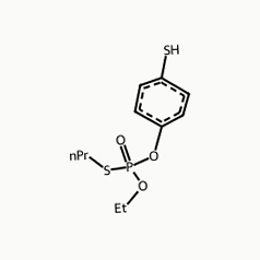 CCCSP(=O)(OCC)Oc1ccc(S)cc1